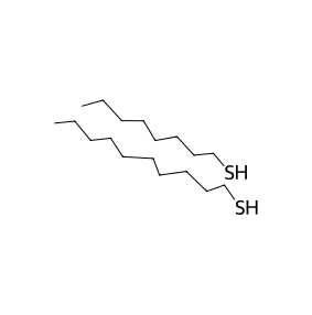 CCCCCCCCCCS.CCCCCCCCS